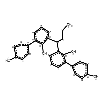 CCCC(c1cccc(-c2ccc(O)cc2)c1O)c1cccc(-c2ccc(O)cc2)c1O